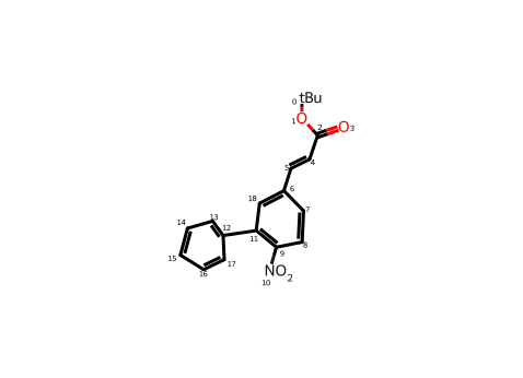 CC(C)(C)OC(=O)C=Cc1ccc([N+](=O)[O-])c(-c2ccccc2)c1